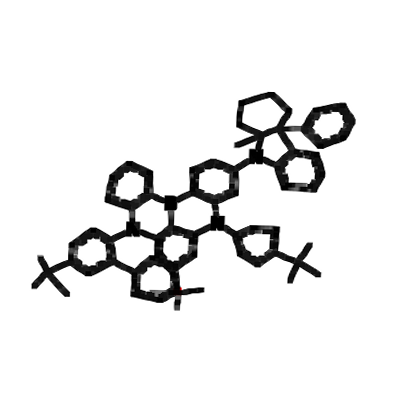 CC(C)(C)c1ccc(N2c3cc(N4c5ccccc5C5(c6ccccc6)CCCCC45C)ccc3B3c4ccccc4N(c4ccc(C(C)(C)C)cc4-c4ccccc4)c4cc(C(C)(C)C)cc2c43)cc1